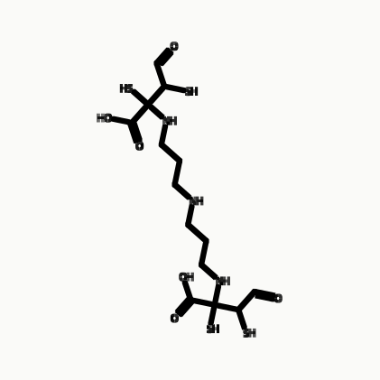 O=CC(S)C(S)(NCCCNCCCNC(S)(C(=O)O)C(S)C=O)C(=O)O